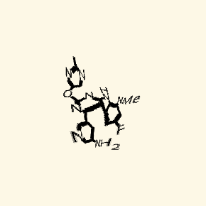 CNc1cc(F)cc2c1[nH]c1nc(Oc3cnc(C)nc3)nc(-c3cncc(N)c3)c12